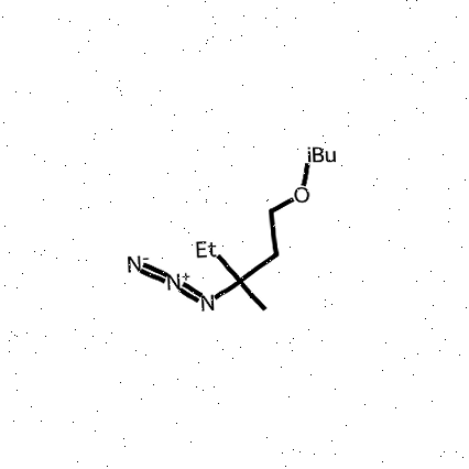 CCC(C)OCCC(C)(CC)N=[N+]=[N-]